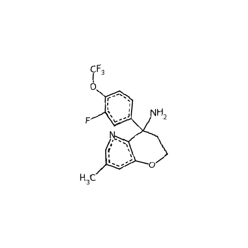 Cc1cnc2c(c1)OCCC2(N)c1ccc(OC(F)(F)F)c(F)c1